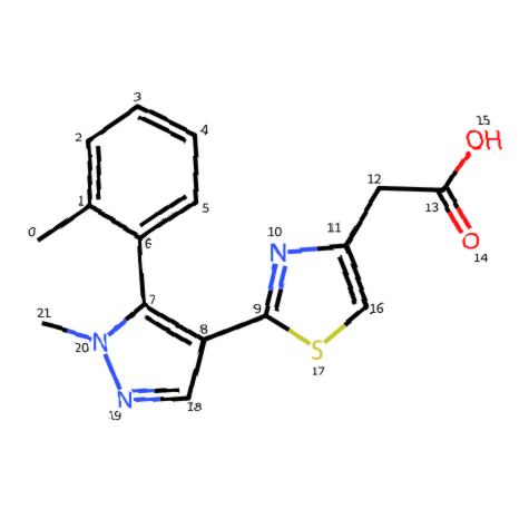 Cc1ccccc1-c1c(-c2nc(CC(=O)O)cs2)cnn1C